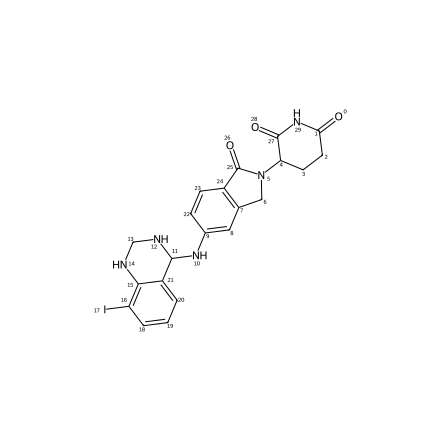 O=C1CCC(N2Cc3cc(NC4NCNc5c(I)cccc54)ccc3C2=O)C(=O)N1